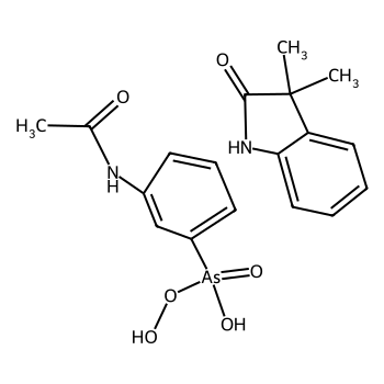 CC(=O)Nc1cccc([As](=O)(O)OO)c1.CC1(C)C(=O)Nc2ccccc21